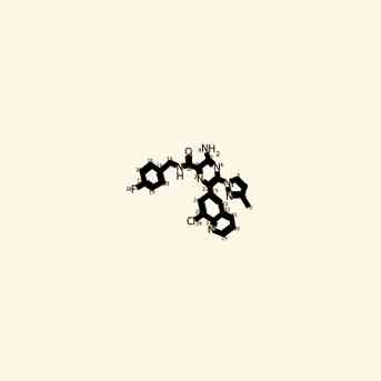 Cc1ccn(-c2nc(N)c(C(=O)NCc3ccc(F)cc3)nc2-c2cc(Cl)c3ncccc3c2)n1